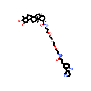 CC1=C(O)C(=O)C=C2C1=CC=C1[C@@]2(C)CC[C@@]2(C)[C@@H]3C[C@](C)(C(=O)NCCCOCCOCCOCCCNC(=O)CCc4ccc5[nH]c6ccncc6c5c4)CC[C@]3(C)CC[C@]12C